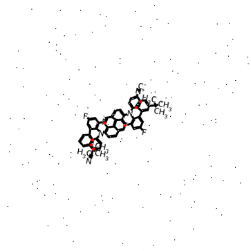 [C-]#[N+]c1ccc(N(c2c(F)cc(F)cc2-c2cccc(C(C)(C)C)c2)c2ccc3ccc4c(N(c5ccc(C#N)cc5)c5c(F)cc(F)cc5-c5cccc(C(C)(C)C)c5)ccc5ccc2c3c54)cc1